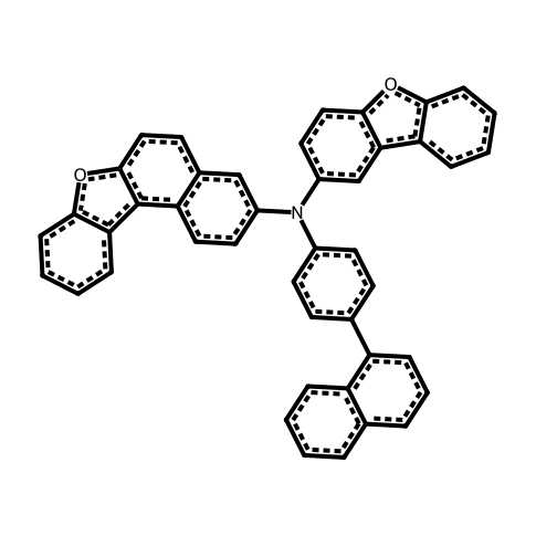 c1ccc2c(-c3ccc(N(c4ccc5c(ccc6oc7ccccc7c65)c4)c4ccc5oc6ccccc6c5c4)cc3)cccc2c1